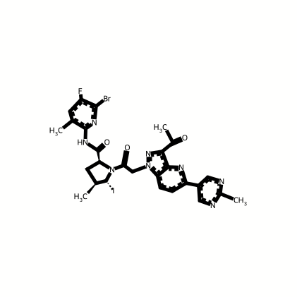 CC(=O)c1nn(CC(=O)N2[C@H](I)[C@@H](C)C[C@H]2C(=O)Nc2nc(Br)c(F)cc2C)c2ccc(-c3cnc(C)nc3)nc12